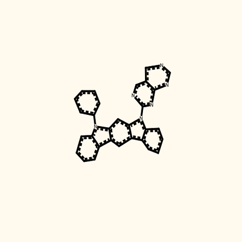 c1ccc(-n2c3ccccc3c3cc4c5ccccc5n(-c5ncc6cncnc6n5)c4cc32)cc1